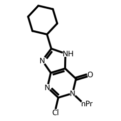 CCCn1c(Cl)nc2nc(C3CCCCC3)[nH]c2c1=O